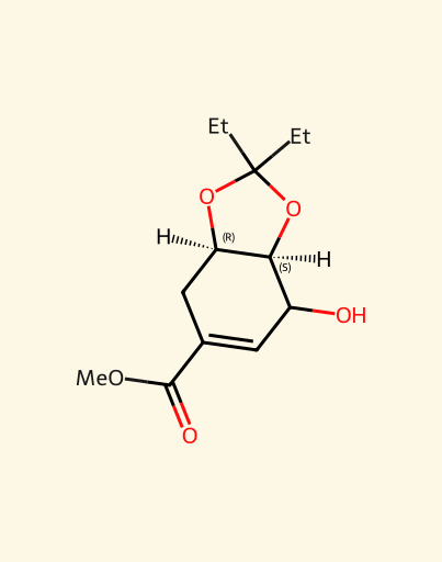 CCC1(CC)O[C@@H]2CC(C(=O)OC)=CC(O)[C@@H]2O1